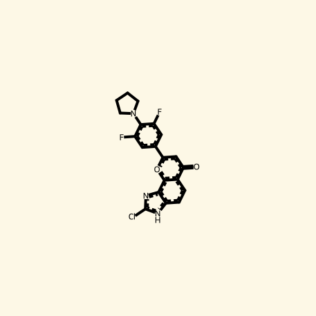 O=c1cc(-c2cc(F)c(N3CCCC3)c(F)c2)oc2c1ccc1[nH]c(Cl)nc12